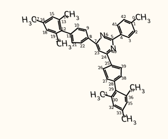 Cc1ccc(-c2nc(-c3ccc(-c4c(C)cc(C)cc4C)cc3)cc(-c3ccc(-c4c(C)cc(C)cc4C)cc3)n2)cc1